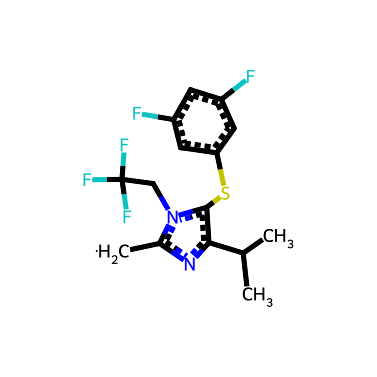 [CH2]c1nc(C(C)C)c(Sc2cc(F)cc(F)c2)n1CC(F)(F)F